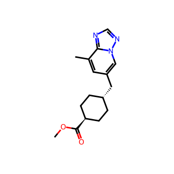 COC(=O)[C@H]1CC[C@H](Cc2cc(C)c3ncnn3c2)CC1